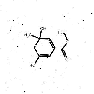 CC1(O)C=CC=C(O)C1.COC=O